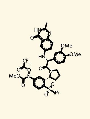 COC(=O)N(OC(=O)C(F)(F)F)c1ccc(S(=O)(=O)C(C)C)c([C@H]2CCCN2C(=O)[C@H](Nc2ccc3nc(C)[nH]c(=O)c3c2)c2ccc(OC)c(OC)c2)c1